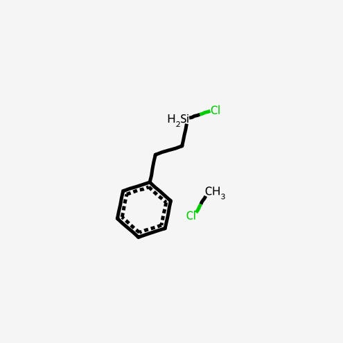 CCl.Cl[SiH2]CCc1ccccc1